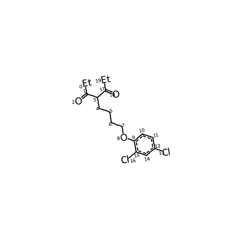 CCC(=O)C(CCCCOc1ccc(Cl)cc1Cl)C(=O)CC